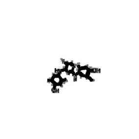 Cc1cc(Nc2ncc(F)c(Nc3cc(C)c(O)cc3C)n2)c(C)cc1O